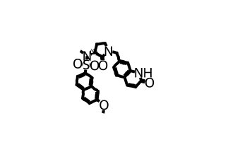 COc1ccc2ccc(S(=O)(=O)N(C)[C@H]3CCN(Cc4ccc5ccc(=O)[nH]c5c4)C3=O)cc2c1